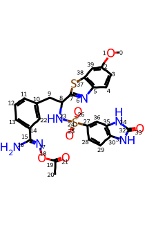 COc1ccc2nc(C(Cc3cccc(C(N)=NOC(C)=O)c3)NS(=O)(=O)c3ccc4[nH]c(=O)[nH]c4c3)sc2c1